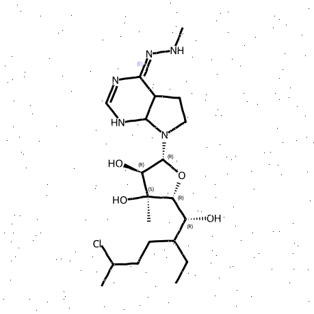 CCC(CCC(C)Cl)[C@@H](O)[C@H]1O[C@@H](N2CCC3/C(=N\NC)N=CNC32)[C@H](O)[C@]1(C)O